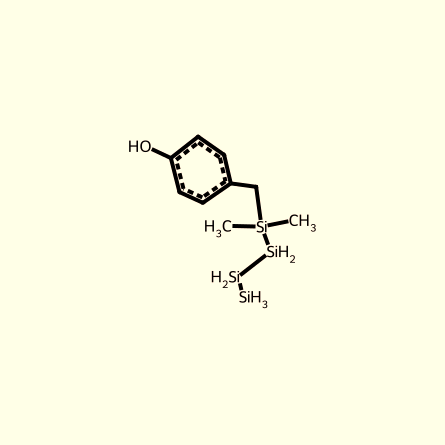 C[Si](C)(Cc1ccc(O)cc1)[SiH2][SiH2][SiH3]